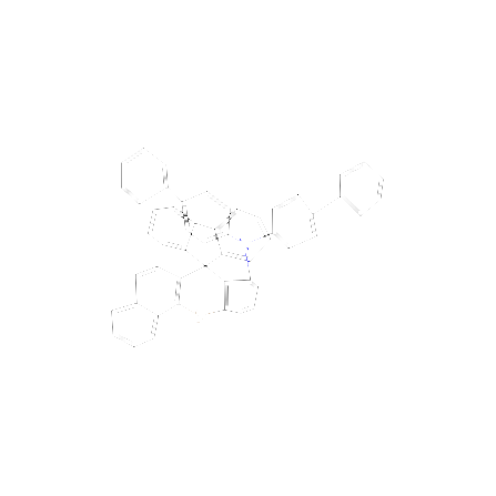 c1ccc(-c2ccc(N(c3ccc(-c4ccccc4)cc3)c3cccc4c3C3(c5ccccc5-c5ccccc53)c3ccc5ccccc5c3S4)cc2)cc1